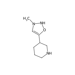 CN1C=C(C2CCCNC2)ON1